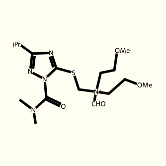 COCC[N+](C=O)(CCOC)CSc1nc(C(C)C)nn1C(=O)N(C)C